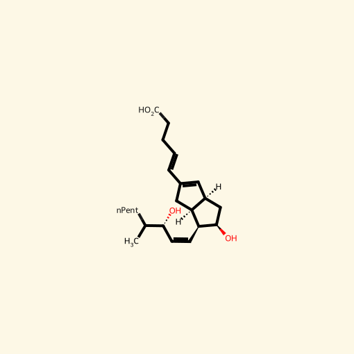 CCCCCC(C)[C@H](O)/C=C\[C@H]1[C@H]2CC(C=CCCC(=O)O)=C[C@H]2C[C@H]1O